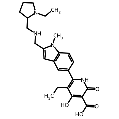 CCc1c(-c2ccc3c(c2)cc(CNCC2CCCN2CC)n3C)[nH]c(=O)c(C(=O)O)c1O